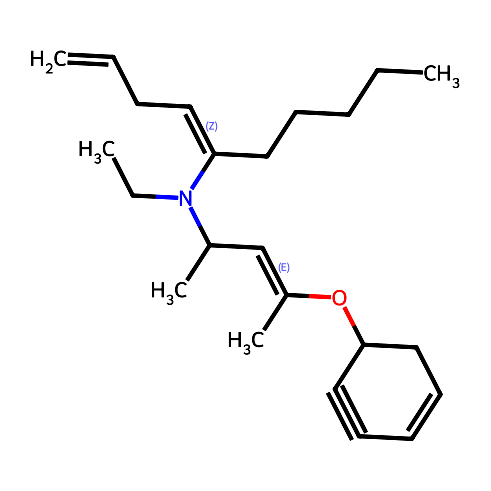 C=CC/C=C(/CCCCC)N(CC)C(C)/C=C(\C)OC1C#CC=CC1